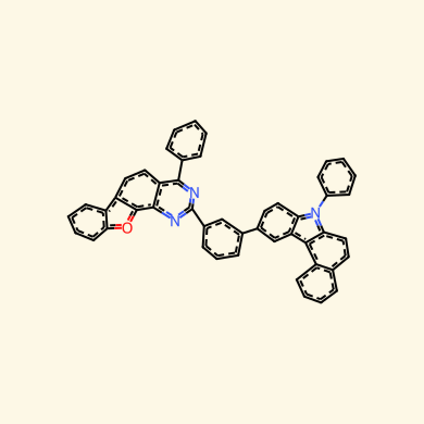 c1ccc(-c2nc(-c3cccc(-c4ccc5c(c4)c4c6ccccc6ccc4n5-c4ccccc4)c3)nc3c2ccc2c4ccccc4oc23)cc1